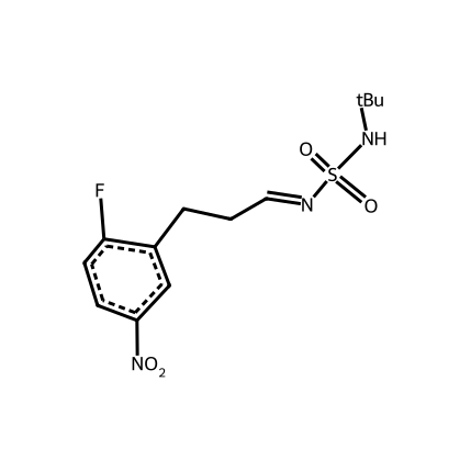 CC(C)(C)NS(=O)(=O)/N=C/CCc1cc([N+](=O)[O-])ccc1F